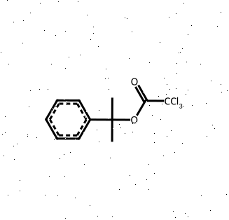 CC(C)(OC(=O)C(Cl)(Cl)Cl)c1ccccc1